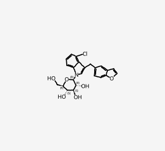 OC[C@H]1O[C@@H](n2cc(Cc3ccc4occc4c3)c3c(Cl)cccc32)[C@H](O)[C@@H](O)[C@@H]1O